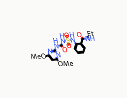 CCNC(=O)c1ccccc1NS(=O)(=O)NC(=O)Nc1nc(OC)cc(OC)n1